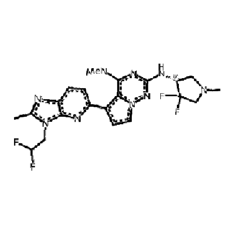 CNc1nc(N[C@@H]2CN(C)CC2(F)F)nn2ccc(-c3ccc4nc(C)n(CC(F)F)c4n3)c12